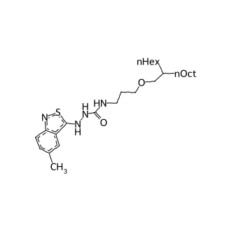 CCCCCCCCC(CCCCCC)COCCCNC(=O)NNc1snc2ccc(C)cc12